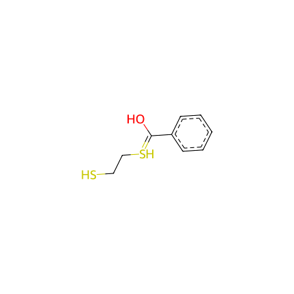 OC(=[SH]CCS)c1ccccc1